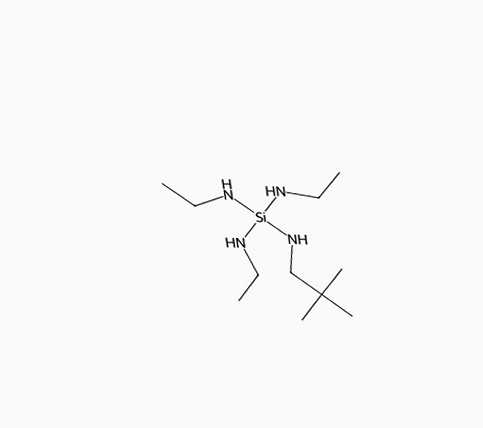 CCN[Si](NCC)(NCC)NCC(C)(C)C